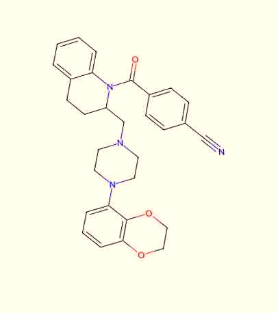 N#Cc1ccc(C(=O)N2c3ccccc3CCC2CN2CCN(c3cccc4c3OCCO4)CC2)cc1